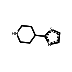 c1csc(C2CCNCC2)n1